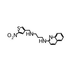 O=[N+]([O-])c1cc(CNCCCNc2ccc3ccccc3n2)cs1